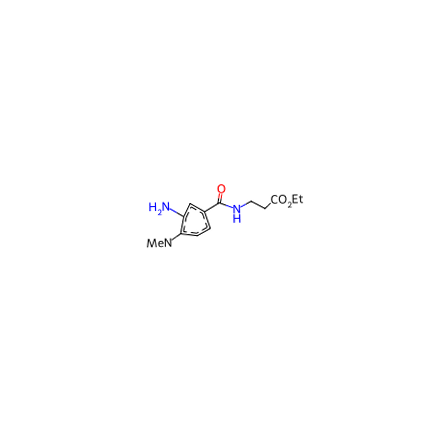 CCOC(=O)CCNC(=O)c1ccc(NC)c(N)c1